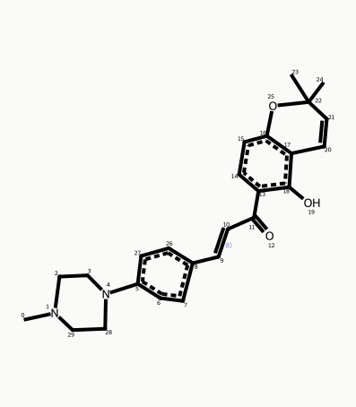 CN1CCN(c2ccc(/C=C/C(=O)c3ccc4c(c3O)C=CC(C)(C)O4)cc2)CC1